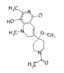 COC1(C2=Cc3c(Cl)nc(C)c(O)c3N(C)C2)CCN(C(C)=O)CC1